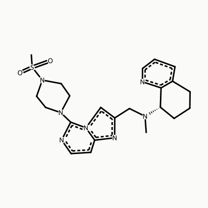 CN(Cc1cn2c(N3CCN(S(C)(=O)=O)CC3)nccc2n1)[C@H]1CCCc2cccnc21